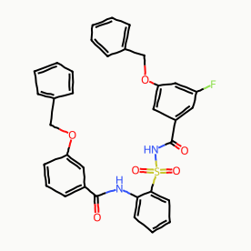 O=C(Nc1ccccc1S(=O)(=O)NC(=O)c1cc(F)cc(OCc2ccccc2)c1)c1cccc(OCc2ccccc2)c1